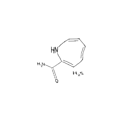 NC(=O)C1=CC=CC=CN1.S